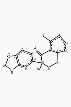 Cc1ccnc2c1C(=O)C(C)(c1ccc3c(c1)OCO3)CC2